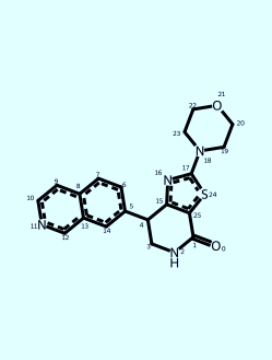 O=C1NCC(c2ccc3ccncc3c2)c2nc(N3CCOCC3)sc21